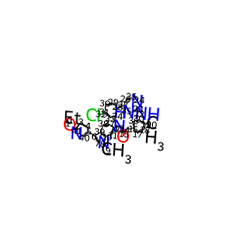 CCOc1ccc(-c2cn(C)c3cc(NC(=O)c4ccc(C)c(Nc5nccc(-c6ccc(Cl)cc6)n5)c4)ccc23)cn1